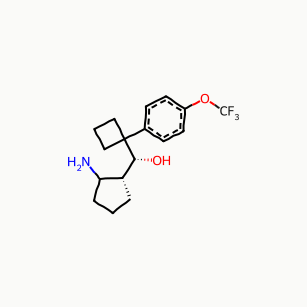 NC1CCC[C@H]1[C@@H](O)C1(c2ccc(OC(F)(F)F)cc2)CCC1